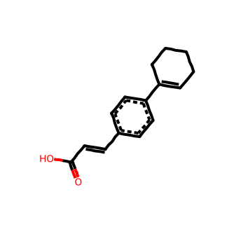 O=C(O)/C=C/c1ccc(C2=CCCCC2)cc1